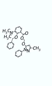 Cc1cc(OCOC(=O)c2cccc(N(C)C)c2OCc2ccccc2)n(-c2ccccc2)n1